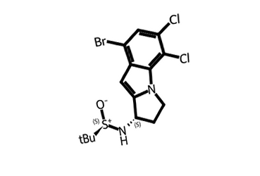 CC(C)(C)[S@@+]([O-])N[C@H]1CCn2c1cc1c(Br)cc(Cl)c(Cl)c12